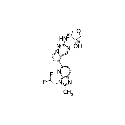 Cc1nc2ccc(-c3ccn4nc(N[C@H]5COC[C@@H]5O)ncc34)nc2n1CC(F)F